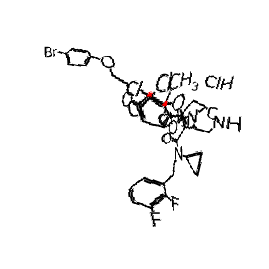 CC(C)(OC(=O)N1C2CNCC1C(C(=O)N(CCc1cccc(F)c1F)C1CC1)=C(c1ccc(OCCOc3ccc(Br)cc3)cc1)C2)C(Cl)(Cl)Cl.Cl